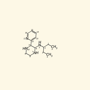 CCC(CC)NC1NCCNC1c1ccccn1